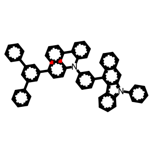 c1ccc(-c2cc(-c3ccccc3)cc(-c3ccc(N(c4cccc(-c5c6ccccc6cc6c5c5ccccc5n6-c5ccccc5)c4)c4ccccc4-c4ccccc4)cc3)c2)cc1